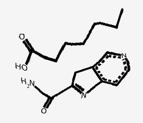 CCCCCCC(=O)O.NC(=O)C1=Nc2ccncc2C1